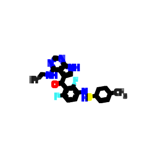 CC(C)CNc1ncnc2[nH]cc(C(=O)c3c(F)ccc(NSC4C=CC(C(F)(F)F)CC4)c3F)c12